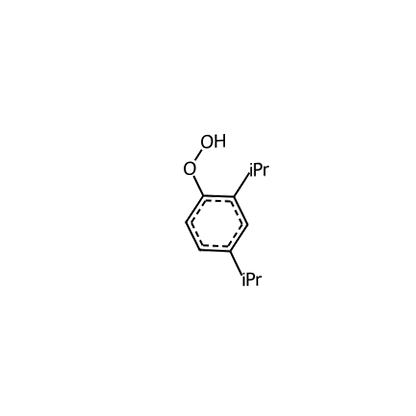 CC(C)c1ccc(OO)c(C(C)C)c1